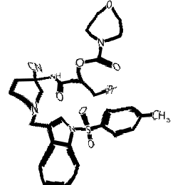 Cc1ccc(S(=O)(=O)n2cc(CN3CCC(C#N)(NC(=O)C(CC(C)C)OC(=O)N4CCOCC4)C3)c3ccccc32)cc1